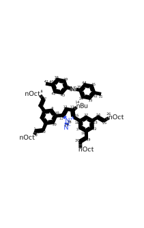 CCCCCCCCC=Cc1cc(C=CCCCCCCCC)cc(C2=CC(CCCC)=C(c3cc(C=CCCCCCCCC)cc(C=CCCCCCCCC)c3)[N+]2=[N-])c1.Cc1cc[c]([Ni][c]2ccc(C)cc2)cc1